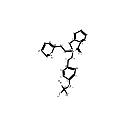 O=C1c2ccccc2C[N+]1(CCc1ccc(OC(F)(F)F)cc1)CCc1ccccn1